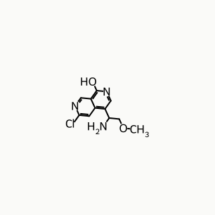 COCC(N)c1cnc(O)c2cnc(Cl)cc12